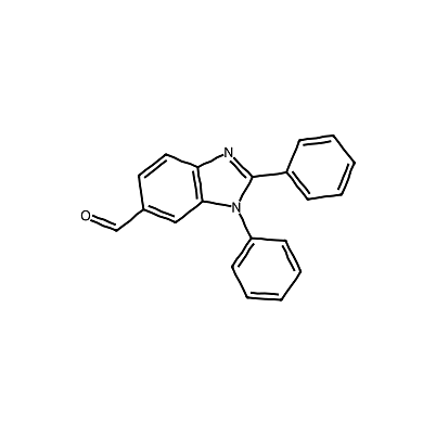 O=Cc1ccc2nc(-c3ccccc3)n(-c3ccccc3)c2c1